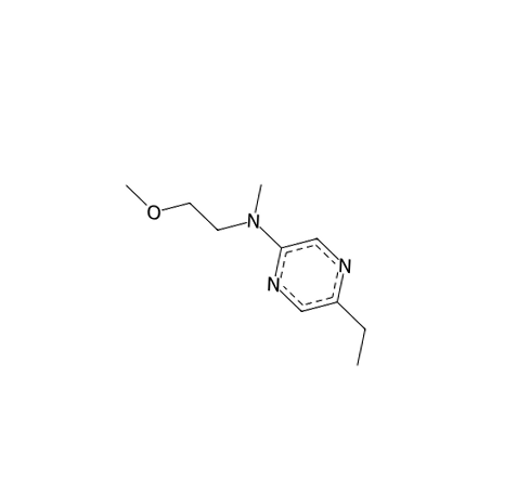 CCc1cnc(N(C)CCOC)cn1